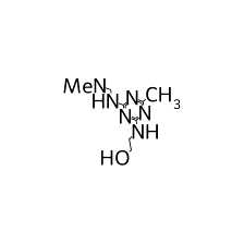 CNCNc1nc(C)nc(NCCO)n1